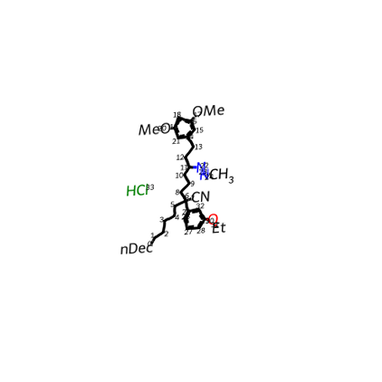 CCCCCCCCCCCCCCCC(C#N)(CCCC(CCc1cc(OC)cc(OC)c1)/N=N/C)c1cccc(OCC)c1.Cl